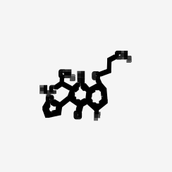 CCCOc1ccc(F)c2c(=O)c(-c3ccco3)c(C(C)C)[nH]c12